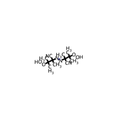 CC(C#N)(/N=N/C(C)(C#N)C(C)(C)OO)C(C)(C)OO